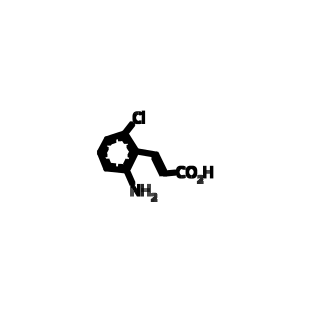 Nc1cccc(Cl)c1/C=C/C(=O)O